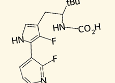 CC(C)(C)C(Cc1c[nH]c(-c2cccnc2F)c1F)NC(=O)O